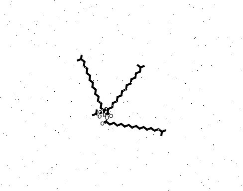 CC(C)CCCCCCCCCCCCCCC(=O)[O][Ti](=[O])([O]C(C)C)([C](=O)CCCCCCCCCCCCCCC(C)C)[C](=O)CCCCCCCCCCCCCCC(C)C